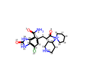 NC(=O)c1c(C[CH]C(=O)[N+]2(C3CCNCC3)CCCCC2)cc(Cl)c2[nH]c(=O)[nH]c12